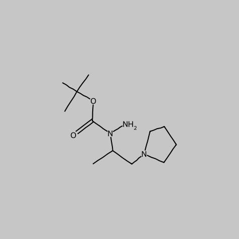 CC(CN1CCCC1)N(N)C(=O)OC(C)(C)C